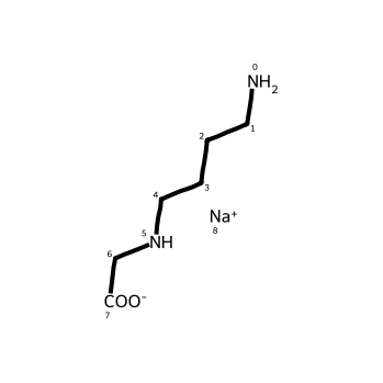 NCCCCNCC(=O)[O-].[Na+]